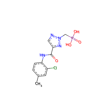 Cc1ccc(NC(=O)c2cnn(CP(=O)(O)O)n2)c(Cl)c1